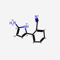 N#Cc1ccccc1-c1ccc(N)[nH]1